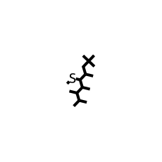 CSC(C(C)CC(C)(C)C)C(C)C(C)C(C)C